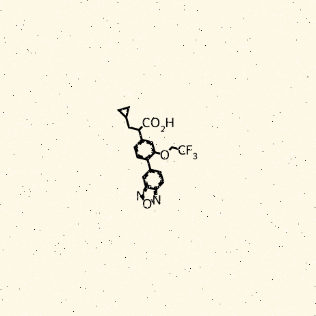 O=C(O)C(CC1CC1)c1ccc(-c2ccc3nonc3c2)c(OCC(F)(F)F)c1